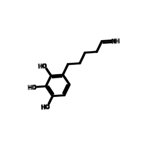 N=CCCCCc1ccc(O)c(O)c1O